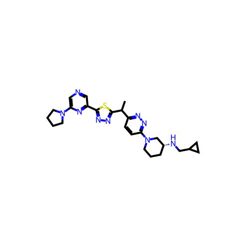 CC(c1ccc(N2CCC[C@@H](NCC3CC3)C2)nn1)c1nnc(-c2cncc(N3CCCC3)n2)s1